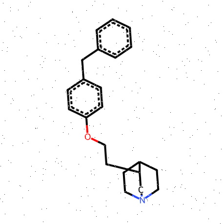 c1ccc(Cc2ccc(OCCC3CN4CCC3CC4)cc2)cc1